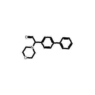 O=CC(c1ccc(-c2ccccc2)cc1)N1CCOCC1